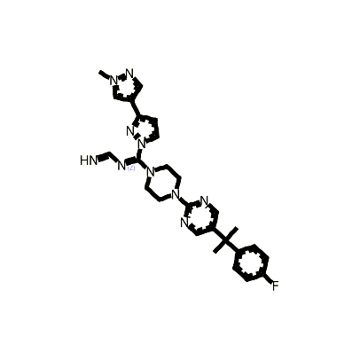 Cn1cc(-c2ccn(/C(=N\C=N)N3CCN(c4ncc(C(C)(C)c5ccc(F)cc5)cn4)CC3)n2)cn1